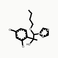 CCCCOC(n1cncn1)C(C)(O)c1ccc(Cl)cc1Cl